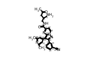 CC(=O)CC(CN)CNC(=O)c1ccn2nc(-c3cccc(C#N)c3)c(-c3cc(C)nc(C)c3)c2n1